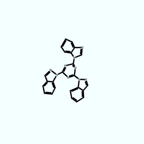 c1ccc2c(c1)cnn2-c1nc(-n2cnc3ccccc32)nc(-n2ncc3ccccc32)n1